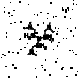 CN(C)C[SiH2]N([SiH2]CN(C)C)[SiH2]CN(C)C